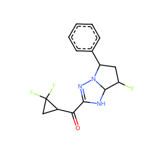 O=C(C1=NN2C(c3ccccc3)CC(F)C2N1)C1CC1(F)F